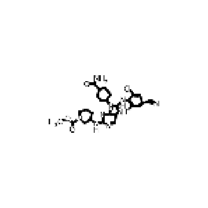 COC(=O)N1CCCC(Nc2ncc3nc(Nc4c(F)cc(C#N)cc4Cl)n(C4CCC(C(N)=O)CC4)c3n2)C1